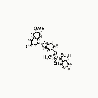 COc1cnc2c(-c3nc4cc(F)c(O[C@@H](C)[C@@H](C)N(C(=O)O)c5ccc(F)nc5)cc4s3)cc(Cl)cc2c1